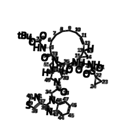 CC(C)(C)OC(=O)N[C@@H]1CCCCC/C=C\[C@@H]2C[C@@]2(C(=O)NS(=O)(=O)C2CC2)NC(=O)[C@@H]2[C@H]3CN(C(=O)Cn4c(-c5cscn5)nc5ccccc54)C[C@H]3CN2C1=O